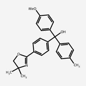 COc1ccc(C(O)(c2ccc(C)cc2)c2ccc(C3=NC(C)(C)CO3)cc2)cc1